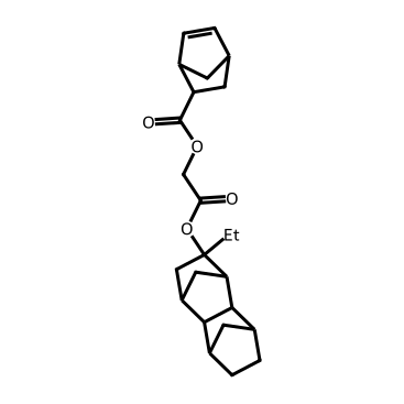 CCC1(OC(=O)COC(=O)C2CC3C=CC2C3)CC2CC1C1C3CCC(C3)C21